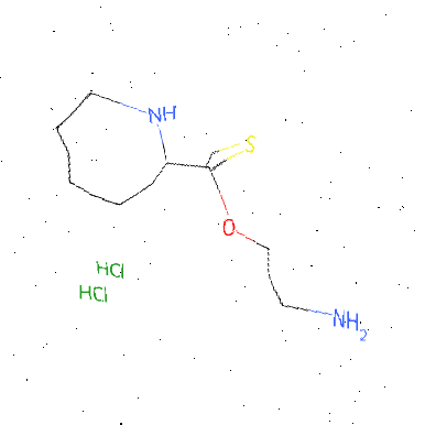 Cl.Cl.NCCOC(=S)C1CCCCN1